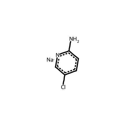 Nc1ccc(Cl)cn1.[Na]